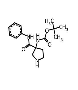 CC(C)(C)OC(=O)NC1(C(=O)Nc2ccccc2)CCNC1